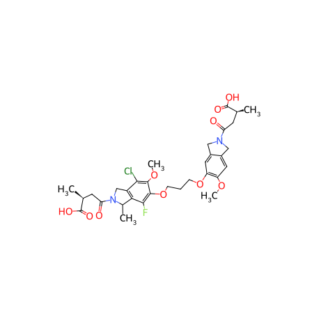 COc1cc2c(cc1OCCCOc1c(F)c3c(c(Cl)c1OC)CN(C(=O)C[C@H](C)C(=O)O)C3C)CN(C(=O)C[C@H](C)C(=O)O)C2